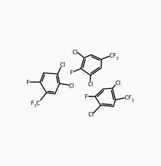 Fc1c(Cl)cc(C(F)(F)F)cc1Cl.Fc1cc(Cl)c(C(F)(F)F)cc1Cl.Fc1cc(Cl)c(Cl)cc1C(F)(F)F